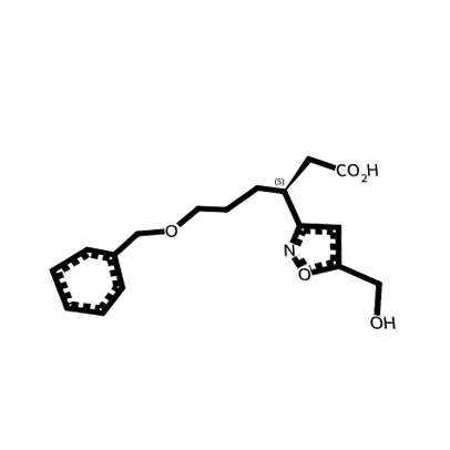 O=C(O)C[C@H](CCCOCc1ccccc1)c1cc(CO)on1